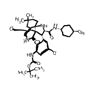 CC1(C)CCC2(CC1)N[C@@H](C(=O)N[C@H]1CC[C@H](O)CC1)[C@H](c1cc(Cl)cc(NC(=O)OC(C)(C)C)c1)[C@]21C(=O)Nc2cc(Cl)ccc21